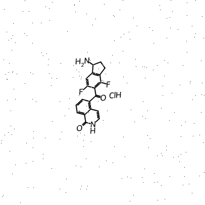 Cl.NC1CCc2c1cc(F)c(C(=O)c1cccc3c(=O)[nH]ccc13)c2F